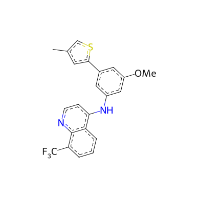 COc1cc(Nc2ccnc3c(C(F)(F)F)cccc23)cc(-c2cc(C)cs2)c1